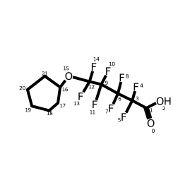 O=C(O)C(F)(F)C(F)(F)C(F)(F)C(F)(F)OC1CCCCC1